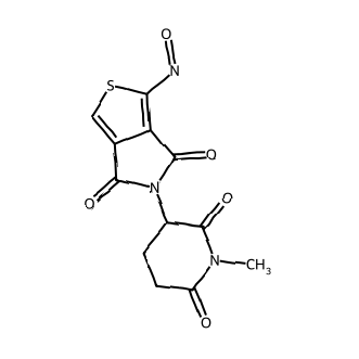 CN1C(=O)CCC(N2C(=O)c3csc(N=O)c3C2=O)C1=O